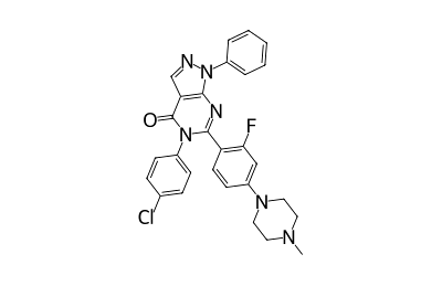 CN1CCN(c2ccc(-c3nc4c(cnn4-c4ccccc4)c(=O)n3-c3ccc(Cl)cc3)c(F)c2)CC1